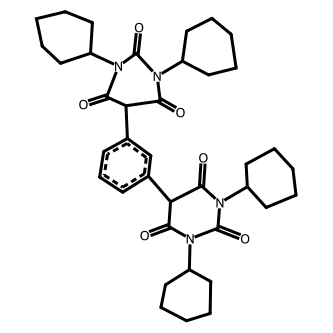 O=C1C(c2cccc(C3C(=O)N(C4CCCCC4)C(=O)N(C4CCCCC4)C3=O)c2)C(=O)N(C2CCCCC2)C(=O)N1C1CCCCC1